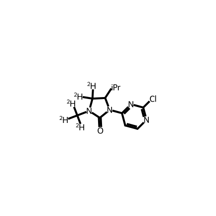 [2H]C([2H])([2H])N1C(=O)N(c2ccnc(Cl)n2)C(C(C)C)C1([2H])[2H]